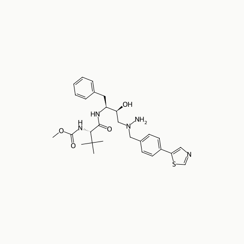 COC(=O)N[C@H](C(=O)N[C@@H](Cc1ccccc1)[C@@H](O)CN(N)Cc1ccc(-c2cncs2)cc1)C(C)(C)C